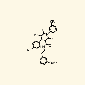 COc1cccc(CCNC(=O)C2C(=O)N(c3cccc(C(F)(F)F)c3)C(C)=C(C(C)=O)C2c2ccc(C#N)cc2)c1